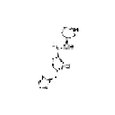 Cl.O=C(NC1CCNC1)c1ccc(Cn2cccn2)cc1